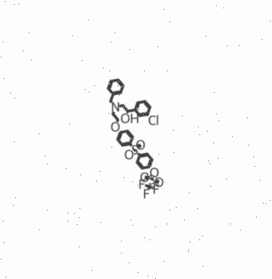 O=S(=O)(c1ccc(OCCN(Cc2ccccc2)C[C@H](O)c2cccc(Cl)c2)cc1)c1ccc(OS(=O)(=O)C(F)(F)F)cc1